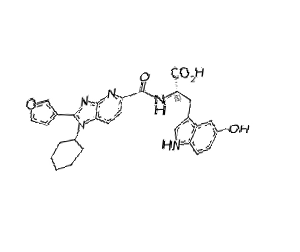 O=C(N[C@@H](Cc1c[nH]c2ccc(O)cc12)C(=O)O)c1ccc2c(n1)nc(-c1ccoc1)n2C1CCCCC1